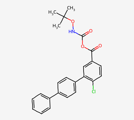 CC(C)(C)ONC(=O)OC(=O)c1ccc(Cl)c(-c2ccc(-c3ccccc3)cc2)c1